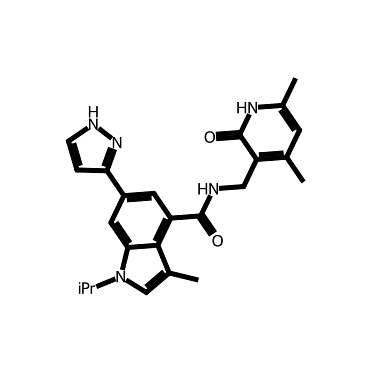 Cc1cc(C)c(CNC(=O)c2cc(-c3cc[nH]n3)cc3c2c(C)cn3C(C)C)c(=O)[nH]1